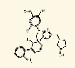 Cc1ccccc1C1=CC=CC(COc2cc(O)c(C=O)cc2Cl)(c2nnc(CN3CCC(O)C3)o2)[C@@H]1Br